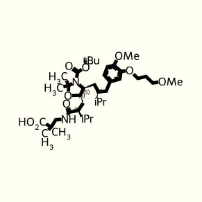 COCCCOc1cc(C[C@@H](C[C@H]2[C@H](C[C@H](C(=O)NCC(C)(C)C(=O)O)C(C)C)OC(C)(C)N2C(=O)OC(C)(C)C)C(C)C)ccc1OC